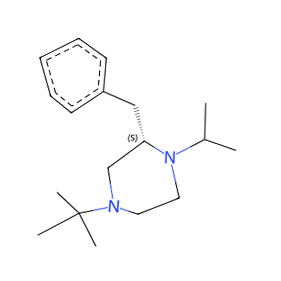 CC(C)N1CCN(C(C)(C)C)C[C@@H]1Cc1ccccc1